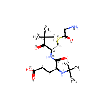 CC(C)(C)N[C@@H](CCC(=O)O)C(=O)N[C@@H](CSC(=O)CN)C(=O)C(C)(C)C